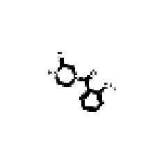 O=C1CN(C(=O)c2ccccc2C(F)(F)F)CCN1